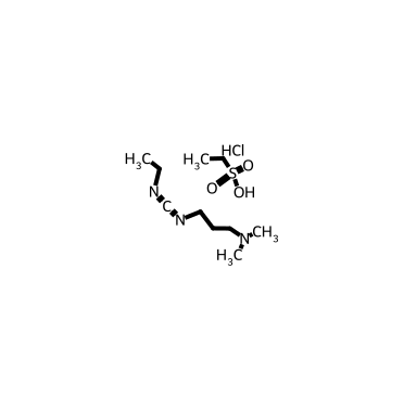 CCN=C=NCCCN(C)C.CCS(=O)(=O)O.Cl